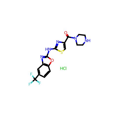 Cl.O=C(c1csc(Nc2nc3cc(C(F)(F)F)ccc3o2)n1)N1CCNCC1